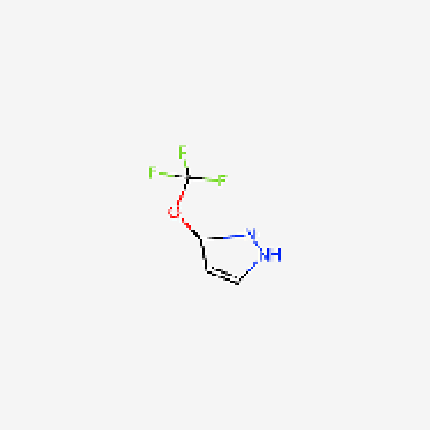 FC(F)(F)OC1C=CN[N]1